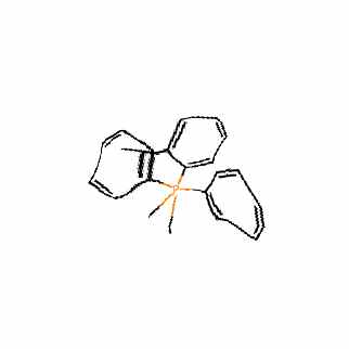 Cc1ccccc1P(C)(C)(c1ccccc1)c1ccccc1